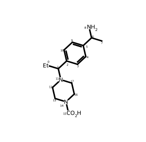 CCC(c1ccc(C(C)N)cc1)N1CCN(C(=O)O)CC1